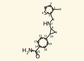 Cc1ccsc1CNC1CC1c1ccc(C(N)=O)cc1